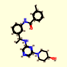 Cc1cccc(C(=O)Nc2cccc([C@H](C)Nc3cncc(N4CCC(O)CC4)n3)c2)c1